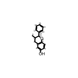 CC1Cc2cc(O)ccc2OC1c1ccccc1